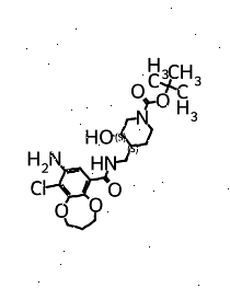 CC(C)(C)OC(=O)N1CC[C@@H](CNC(=O)c2cc(N)c(Cl)c3c2OCCCO3)[C@H](O)C1